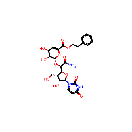 NC(=O)[C@H](O[C@H]1OC(C(=O)OCCc2ccccc2)=C[C@H](O)[C@@H]1O)[C@H]1O[C@@H](n2ccc(=O)[nH]c2=O)[C@H](O)[C@@H]1CO